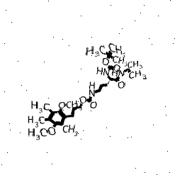 COc1c(C)c(C)c(OC)c(CCCOC(=O)NCCC[C@H](NC(=O)OC(C)(C)C)C(=O)NC(C)C)c1C